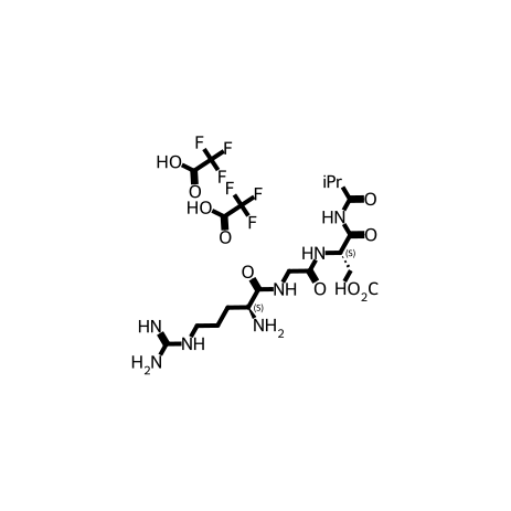 CC(C)C(=O)NC(=O)[C@H](CC(=O)O)NC(=O)CNC(=O)[C@@H](N)CCCNC(=N)N.O=C(O)C(F)(F)F.O=C(O)C(F)(F)F